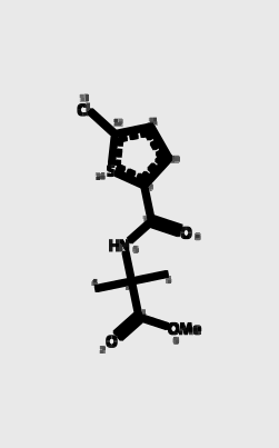 COC(=O)C(C)(C)NC(=O)c1ccc(Cl)s1